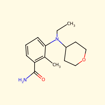 CCN(c1cccc(C(N)=O)c1C)C1CCOCC1